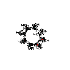 O=S(=O)(O)c1cc2c(O)c(c1)Cc1cc(S(=O)(=O)O)cc(c1O)Cc1cc(S(=O)(=O)O)cc(c1O)Cc1cc(S(=O)(=O)O)cc(c1O)Cc1cc(S(=O)(=O)O)cc(c1O)Cc1cc(S(=O)(=O)O)cc(c1O)Cc1cc(S(=O)(=O)O)cc(c1O)Cc1cc(S(=O)(=O)O)cc(c1O)C2